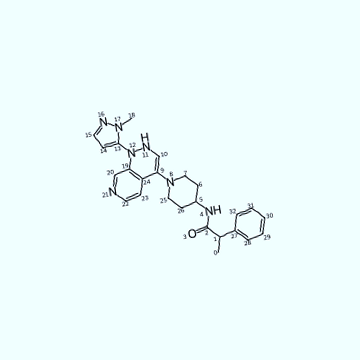 CC(C(=O)NC1CCN(C2=CNN(c3ccnn3C)c3cnccc32)CC1)c1ccccc1